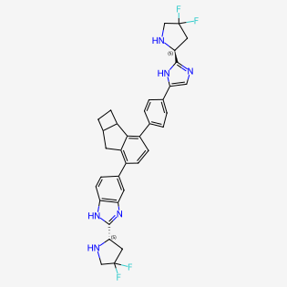 FC1(F)CN[C@H](c2ncc(-c3ccc(-c4ccc(-c5ccc6[nH]c([C@@H]7CC(F)(F)CN7)nc6c5)c5c4C4CCC4C5)cc3)[nH]2)C1